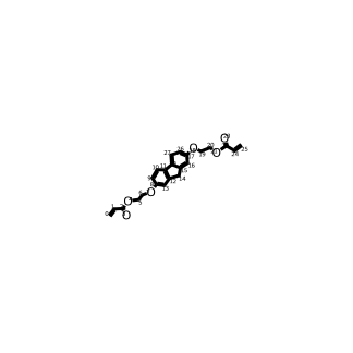 C=CC(=O)OCCOc1ccc2c(c1)Cc1cc(OCCOC(=O)C=C)ccc1-2